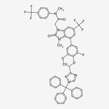 COc1cc(-c2cc(C(F)(F)F)cc3c2n(C)c(=O)n3CC(=O)N(C)c2ccc(C(F)(F)F)cc2)cc(F)c1OCc1ncn(C(c2ccccc2)(c2ccccc2)c2ccccc2)n1